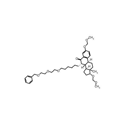 COCOc1ccc2c(c1)C(=O)[C@@H](CCCCCCOCCOCCOCc1ccccc1)[C@@H]1[C@@H]2CC[C@]2(C)[C@@H](OCOC)CC[C@@H]12